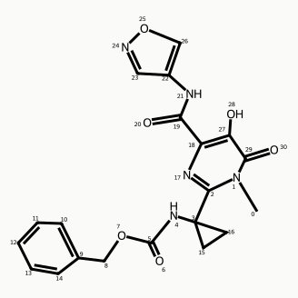 Cn1c(C2(NC(=O)OCc3ccccc3)CC2)nc(C(=O)Nc2cnoc2)c(O)c1=O